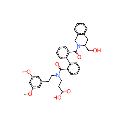 COc1cc(CCN(CCC(=O)O)C(=O)c2ccccc2-c2ccccc2C(=O)N2Cc3ccccc3C[C@H]2CO)cc(OC)c1